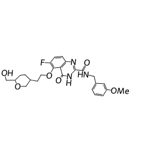 COc1cccc(CNC(=O)c2nc3ccc(F)c(OCCC4CCC(CO)OC4)c3c(=O)[nH]2)c1